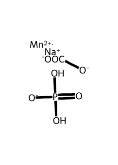 O=C([O-])[O-].O=P([O-])(O)O.[Mn+2].[Na+]